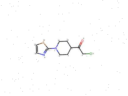 O=C(CCl)C1CCN(c2nccs2)CC1